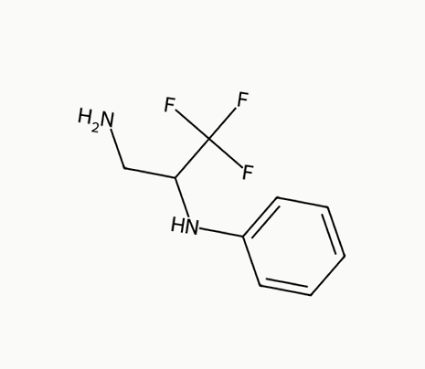 NCC(Nc1ccccc1)C(F)(F)F